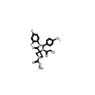 CC(C)(C)OC(=O)[SiH]1CC(C(=O)Nc2ccc(F)cc2F)(N(Cc2ccc(C(F)(F)F)cc2)C(=O)CCl)C1